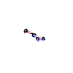 Cc1ccccc1COCCC1CCN(c2cncc(OC[C@@H]3CCCN3)c2)CC1